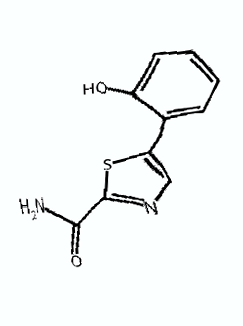 NC(=O)c1ncc(-c2ccccc2O)s1